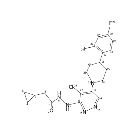 O=C(CC1CC1)NNc1nncc(N2CCC(c3ccc(F)cc3F)CC2)c1Cl